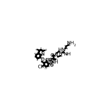 Cc1cc(C)c2cccc(OCc3c(Cl)ccc(S(=O)(=O)NC(C)(C)C(=O)N4CCN(C(=N)NCCCN)CC4)c3Cl)c2n1